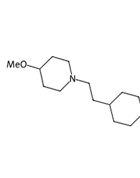 COC1CCN(CCC2CCCCC2)CC1